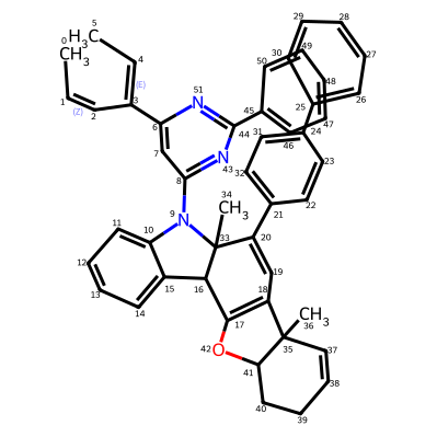 C/C=C\C(=C/C)c1cc(N2c3ccccc3C3C4=C(C=C(c5ccc(-c6ccccc6)cc5)C32C)C2(C)C=CCCC2O4)nc(-c2ccccc2)n1